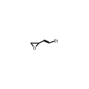 CCC=CC1CO1